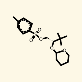 Cc1ccc(S(=O)(=O)OC[C@@H](OC2CCCCO2)C(C)(C)C)cc1